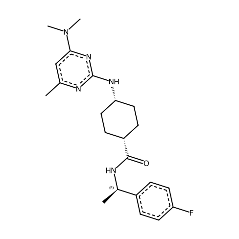 Cc1cc(N(C)C)nc(N[C@H]2CC[C@@H](C(=O)N[C@H](C)c3ccc(F)cc3)CC2)n1